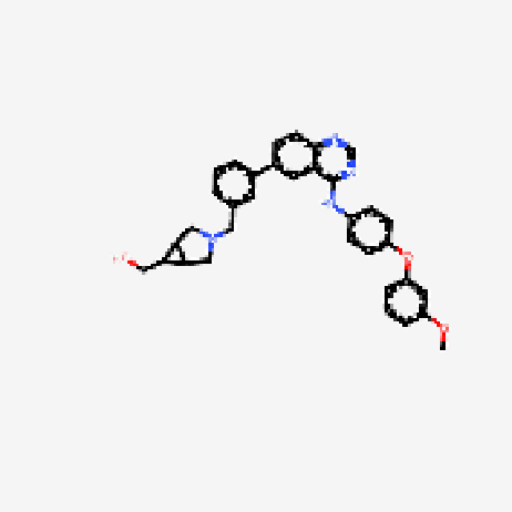 COc1cccc(Oc2ccc(Nc3ncnc4ccc(-c5cccc(CN6CC7C(CO)C7C6)c5)cc34)cc2)c1